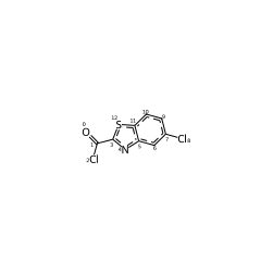 O=C(Cl)c1nc2cc(Cl)ccc2s1